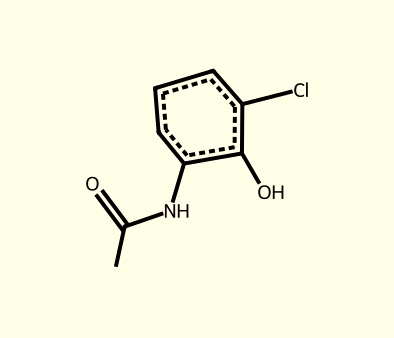 CC(=O)Nc1cccc(Cl)c1O